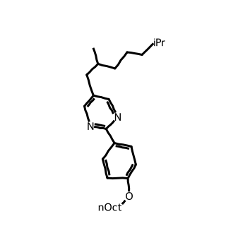 CCCCCCCCOc1ccc(-c2ncc(CC(C)CCCC(C)C)cn2)cc1